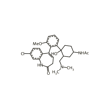 COc1cccc(C2(O)CCC(NC(C)=O)CC2CN(C)C)c1C1=CCC(=O)Nc2cc(Cl)ccc21